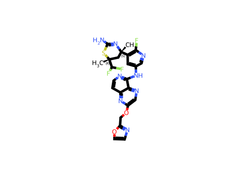 C[C@]1(C(F)F)C[C@@](C)(c2cc(Nc3nccc4nc(OCc5ncco5)cnc34)cnc2F)N=C(N)S1